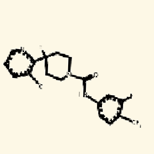 O=C(Nc1ccc(C(F)(F)F)c(F)c1)N1CCC(F)(c2ncccc2Cl)CC1